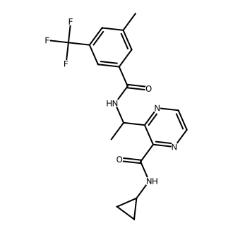 Cc1cc(C(=O)NC(C)c2nccnc2C(=O)NC2CC2)cc(C(F)(F)F)c1